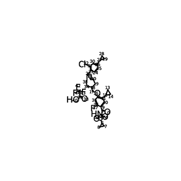 O=C(NS(=O)(=O)C1CC1)c1cc(C2CC2)c(OCC2CCN(Cc3ccc(C4CC4)cc3Cl)CC2)cc1F.O=C(O)C(F)(F)F